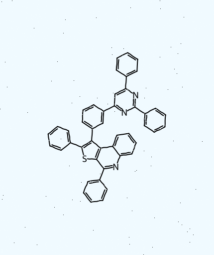 c1ccc(-c2cc(-c3cccc(-c4c(-c5ccccc5)sc5c(-c6ccccc6)nc6ccccc6c45)c3)nc(-c3ccccc3)n2)cc1